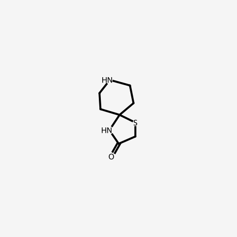 O=C1CSC2(CCNCC2)N1